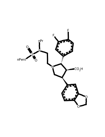 CCCCCS(=O)(=O)N(CCC)CCN1C[C@H](c2ccc3c(c2)OCO3)[C@H](C(=O)O)[C@H]1c1ccc(F)c(F)c1